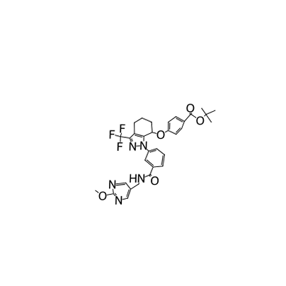 COc1ncc(CNC(=O)c2cccc(-n3nc(C(F)(F)F)c4c3C(Oc3ccc(C(=O)OC(C)(C)C)cc3)CCC4)c2)cn1